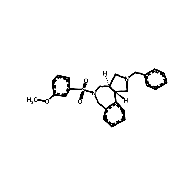 COc1cccc(S(=O)(=O)N2Cc3ccccc3[C@H]3CN(Cc4ccccc4)C[C@@H]3C2)c1